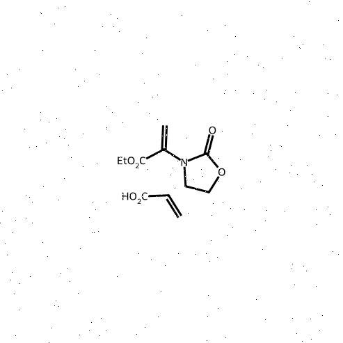 C=C(C(=O)OCC)N1CCOC1=O.C=CC(=O)O